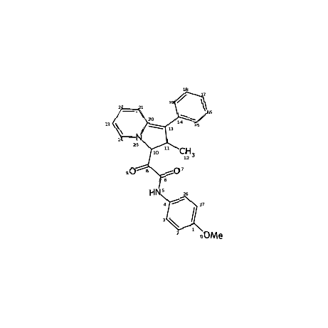 COc1ccc(NC(=O)C(=O)C2C(C)C(c3ccccc3)=C3C=CC=CN32)cc1